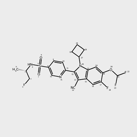 C[C@@H](CF)NS(=O)(=O)c1ccc(-c2c(C#N)c3cc(F)c(OC(F)F)cc3n2C2CCC2)nc1